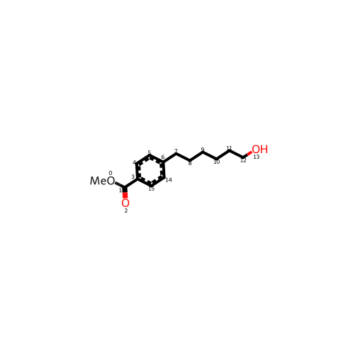 COC(=O)c1ccc(CCCCCCO)cc1